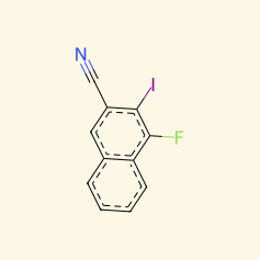 N#Cc1cc2ccccc2c(F)c1I